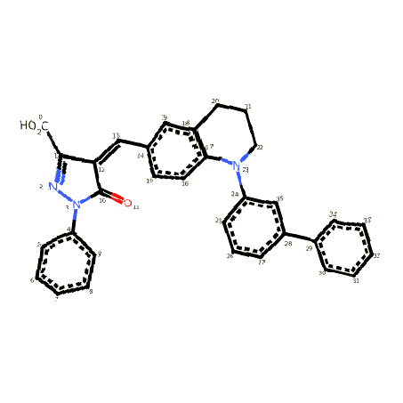 O=C(O)C1=NN(c2ccccc2)C(=O)/C1=C\c1ccc2c(c1)CCCN2c1cccc(-c2ccccc2)c1